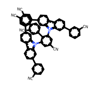 N#Cc1cccc(-c2ccc3c4ccc(-c5cccc(C#N)c5)cc4n(-c4cc(C#N)cc(-n5c6cc(-c7cccc(C#N)c7)ccc6c6ccc(-c7cccc(C#N)c7)cc65)c4-c4cccc(C#N)c4)c3c2)c1